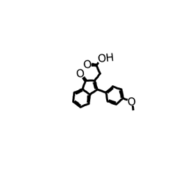 COc1ccc(C2=C(CC(=O)O)C(=O)c3ccccc32)cc1